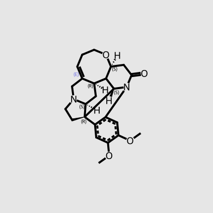 COc1cc2c(cc1OC)[C@@]13CCN4C/C5=C/CCO[C@H]6CC(=O)N2[C@H]1C6[C@H]5C[C@H]43